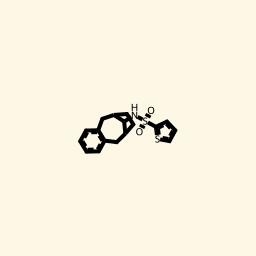 O=S(=O)(NC1C2CCC1Cc1ccccc1C2)c1cccs1